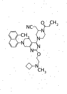 C=CC(=O)N1CCN(c2nc(OCCN(C)C3CCC3)nc3c2CCN(c2cccc4cccc(C)c24)C3)CC1CC#N